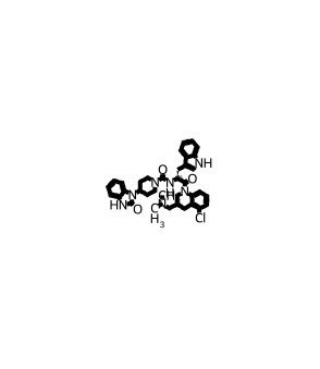 CN(C)CC1Cc2c(Cl)cccc2N(C(=O)[C@@H](Cc2c[nH]c3ccccc23)NC(=O)N2CCC(n3c(=O)[nH]c4ccccc43)CC2)C1